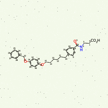 O=C(O)CCNC(=O)c1ccc(CCCCCCOc2ccc(OCc3ccccc3)cc2)cc1